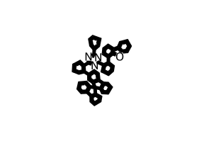 c1ccc(-c2nc(-c3ccccc3-c3ccc4c(c3)C3(c5ccccc5-c5ccccc53)c3ccccc3-4)nc(-c3ccccc3-c3cccc4c3oc3ccccc34)n2)cc1